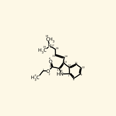 CCOC(=O)c1[nH]c2ccccc2c1C=CCN(C)C